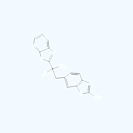 CC(C)(C)c1nc2ccc(CC(C)(C)c3nc4cccnc4s3)cc2s1